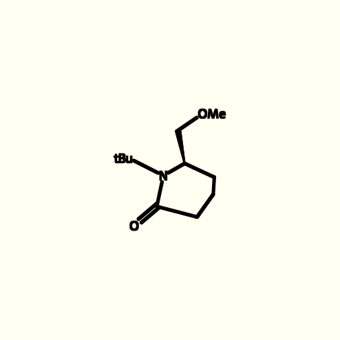 COC[C@H]1CCCC(=O)N1C(C)(C)C